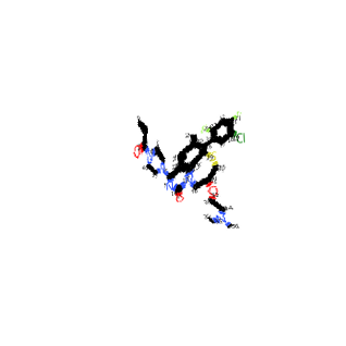 C=CC(=O)N1CCN(c2nc(=O)n3c4c(c(-c5cc(Cl)c(F)cc5F)c(C)cc24)SCC(OCCN(C)C)C3)CC1